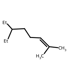 CCC(CC)CCC=C(C)C